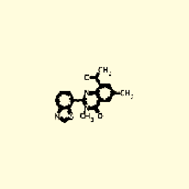 CC(=O)c1cc(C)cc2c(=O)n(C)c(-c3cccc4ncsc34)nc12